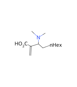 C=C(C(=O)O)C(CCCCCCC)N(C)C